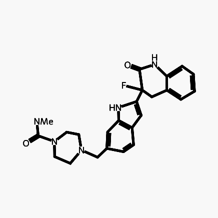 CNC(=O)N1CCN(Cc2ccc3cc(C4(F)Cc5ccccc5NC4=O)[nH]c3c2)CC1